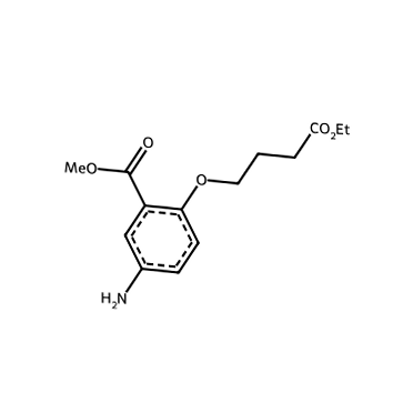 CCOC(=O)CCCOc1ccc(N)cc1C(=O)OC